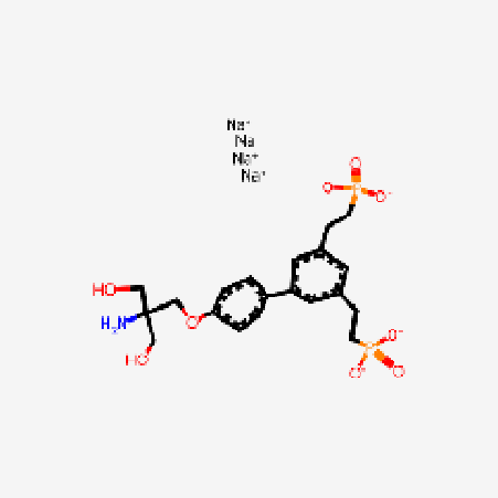 NC(CO)(CO)COc1ccc(-c2cc(CCP(=O)([O-])[O-])cc(CCP(=O)([O-])[O-])c2)cc1.[Na+].[Na+].[Na+].[Na+]